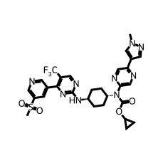 Cn1cc(-c2cnc(N(C(=O)OC3CC3)[C@H]3CC[C@H](Nc4ncc(C(F)(F)F)c(-c5cncc(S(C)(=O)=O)c5)n4)CC3)cn2)cn1